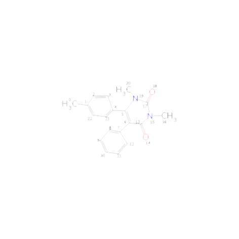 Cc1ccc(-c2c(-c3ccccc3)c(=O)n(C)c(=O)n2C)cc1